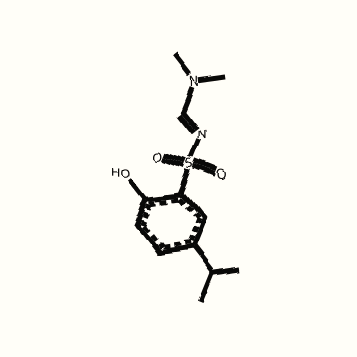 CC(C)c1ccc(O)c(S(=O)(=O)N=CN(C)C)c1